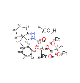 CC(=O)O.CCOC(C)(OCC)C(=O)OC(OC(=O)NCC1(Cc2ccccc2)CCCCC1)C(C)C